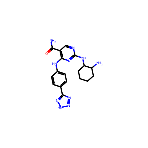 NC(=O)c1cnc(NC2CCCCC2N)nc1Nc1ccc(-c2nn[nH]n2)cc1